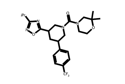 CC(C)c1noc(C2CC(c3ccc(C(F)(F)F)cc3)CN(C(=O)N3CCOC(C)(C)C3)C2)n1